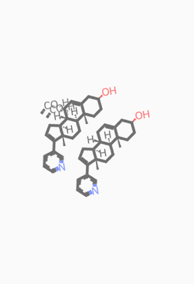 CC(=O)O.CC(=O)O.C[C@]12CC[C@H](O)CC1=CC[C@@H]1[C@@H]2CC[C@]2(C)C(c3cccnc3)=CC[C@@H]12.C[C@]12CC[C@H](O)CC1=CC[C@@H]1[C@@H]2CC[C@]2(C)C(c3cccnc3)=CC[C@@H]12